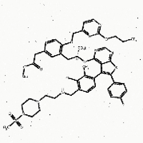 Cc1c(-c2c(-c3ccc(F)cc3)sc3ncnc(O[C@H](Cc4cc(CC(=O)OC(C)(C)C)ccc4OCc4ccnc(OCCC(F)(F)F)n4)C(=O)O)c23)ccc(CNCCN2CCN(S(C)(=O)=O)CC2)c1Cl